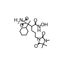 CN1C(=O)N(CCCC(C(=O)NO)C(C)(C2CCCCC2)S(N)(=O)=O)C(=O)C1(C)C